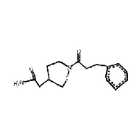 NC(=O)CC1CCN(C(=O)CCc2ccccc2)CC1